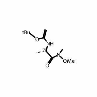 C=C(N[C@@H](C)C(=O)N(C)OC)OC(C)(C)C